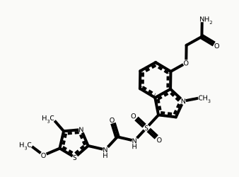 COc1sc(NC(=O)NS(=O)(=O)c2cn(C)c3c(OCC(N)=O)cccc23)nc1C